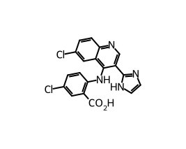 O=C(O)c1cc(Cl)ccc1Nc1c(-c2ncc[nH]2)cnc2ccc(Cl)cc12